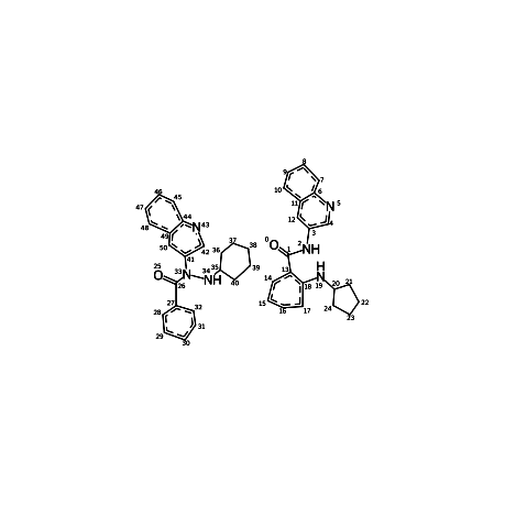 O=C(Nc1cnc2ccccc2c1)c1ccccc1NC1CCCC1.O=C(c1ccccc1)N(NC1CCCCC1)c1cnc2ccccc2c1